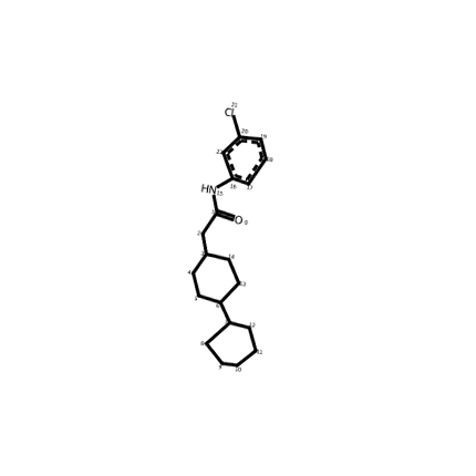 O=C(CC1CCC(C2CCCCC2)CC1)Nc1cccc(Cl)c1